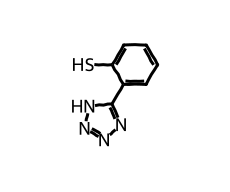 Sc1ccccc1-c1nnn[nH]1